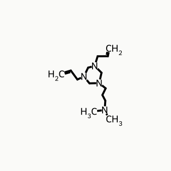 C=CCN1CN(CC=C)CN(CCCN(C)C)C1